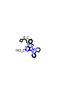 C[C@H](CCNc1nc(C(=O)O)nc2nc(N3CCCCC3c3ccccn3)n(Cc3ccc(C(F)(F)F)cc3)c12)C1CCC1